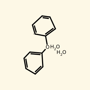 O.O.[c]1ccccc1Oc1ccccc1